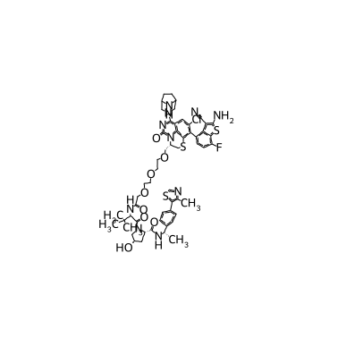 Cc1ncsc1-c1ccc([C@H](C)NC(=O)[C@@H]2C[C@@H](O)CN2C(=O)[C@@H](NC(=O)COCCOCCOC[C@H]2CSc3c(-c4ccc(F)c5sc(N)c(C#N)c45)c(Cl)cc4c(N5CC6CCC(C5)N6)nc(=O)n2c34)C(C)(C)C)cc1